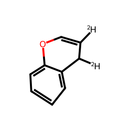 [2H]C1=COc2ccccc2C1[2H]